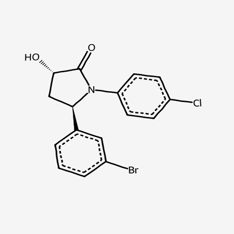 O=C1[C@@H](O)C[C@H](c2cccc(Br)c2)N1c1ccc(Cl)cc1